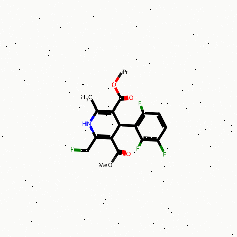 COC(=O)C1=C(CF)NC(C)=C(C(=O)OC(C)C)C1c1c(F)ccc(F)c1F